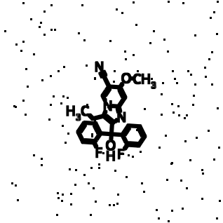 CCc1c(C(O)(c2ccccc2F)c2ccccc2F)nc2cc(OC)c(C#N)cn12